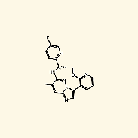 COc1ncccc1-c1cnc2cc(C)c(N[C@@H](C)c3ccc(F)cn3)nn12